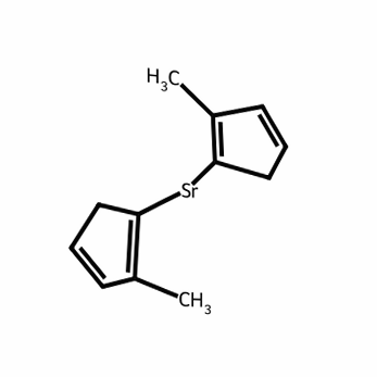 CC1=[C]([Sr][C]2=C(C)C=CC2)CC=C1